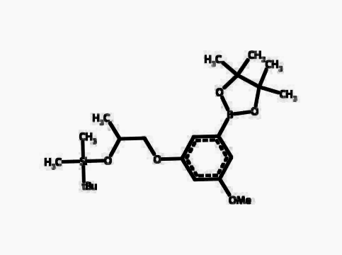 COc1cc(OCC(C)O[Si](C)(C)C(C)(C)C)cc(B2OC(C)(C)C(C)(C)O2)c1